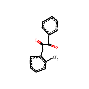 O=C(C(=O)c1ccccc1C(F)(F)F)c1ccccc1